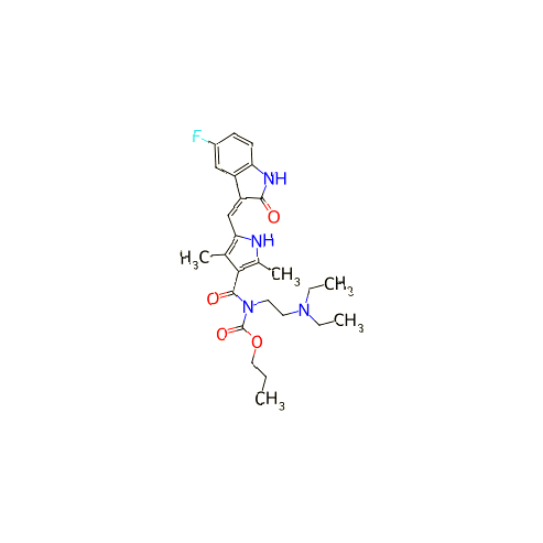 CCCOC(=O)N(CCN(CC)CC)C(=O)c1c(C)[nH]c(C=C2C(=O)Nc3ccc(F)cc32)c1C